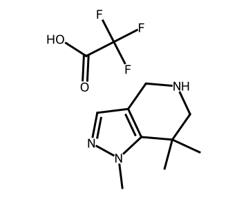 Cn1ncc2c1C(C)(C)CNC2.O=C(O)C(F)(F)F